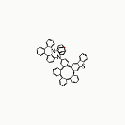 c1ccc(N(c2ccc3c(c2)c2ccccc2c2ccccc2c2ccccc2c2cc4sc5ccccc5c4cc32)c2cccc3c2N(c2ccccc2)c2ccccc2-c2ccccc2-3)cc1